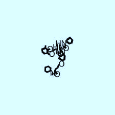 Cc1cccc(C)c1OC(=O)CN1Cc2cc(OCCCC(=O)N(C)C3CCCCC3)ccc2N=C1NC(=O)Nc1ccccc1